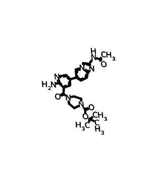 CC(=O)Nc1cn2cc(-c3cnc(N)c(C(=O)N4CCN(C(=O)OC(C)(C)C)CC4)c3)ccc2n1